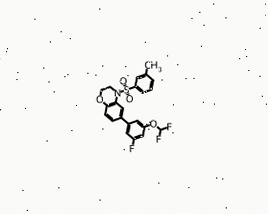 Cc1cccc(S(=O)(=O)N2CCOc3ccc(-c4cc(F)cc(OC(F)F)c4)cc32)c1